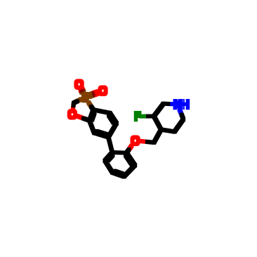 O=S1(=O)COc2cc(-c3ccccc3OCC3CCNCC3F)ccc21